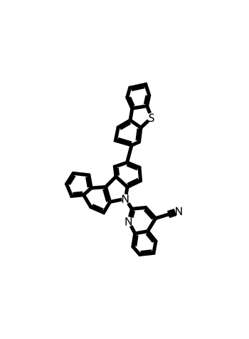 N#Cc1cc(-n2c3ccc(-c4ccc5c(c4)sc4ccccc45)cc3c3c4ccccc4ccc32)nc2ccccc12